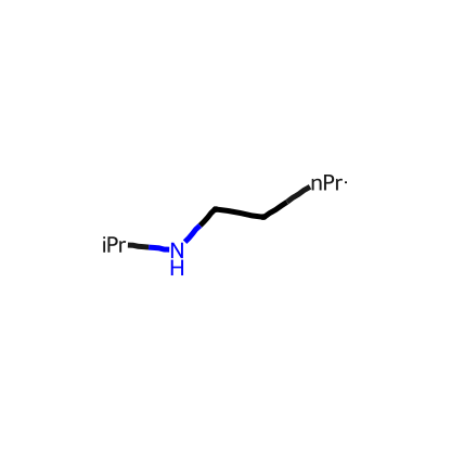 CC[CH]CCNC(C)C